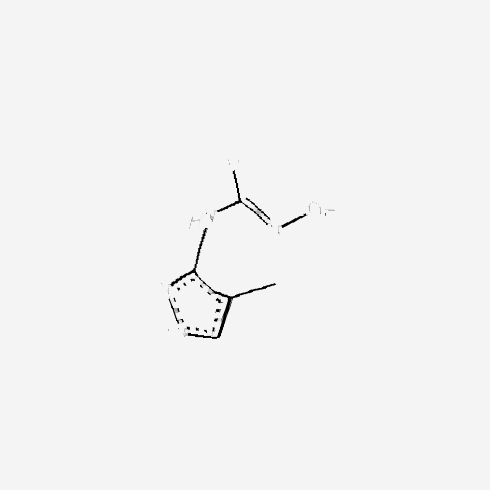 CCC(=NO)Nc1n[nH]cc1CC